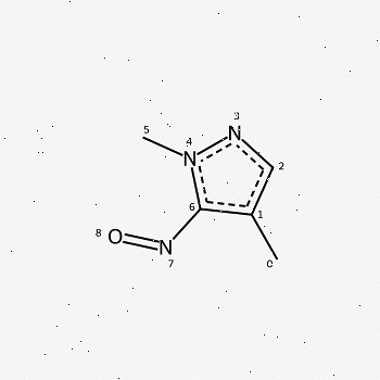 Cc1cnn(C)c1N=O